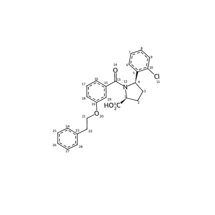 O=C(O)[C@@H]1CC[C@H](c2ccccc2Cl)N1C(=O)c1cccc(OCCc2ccccc2)c1